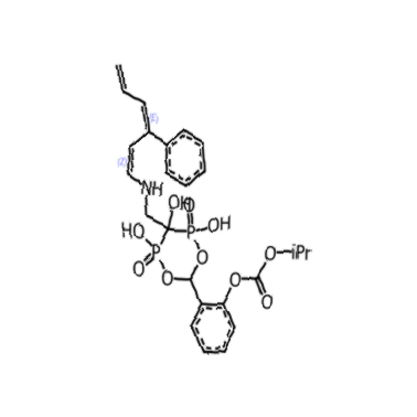 C=C/C=C(\C=C/NCC1(O)P(=O)(O)OC(c2ccccc2OC(=O)OC(C)C)OP1(=O)O)c1ccccc1